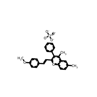 COc1ccc(C=Cc2[o+]c3ccc(C)cc3c(C)c2-c2ccccc2)cc1.[O-][Cl+3]([O-])([O-])[O-]